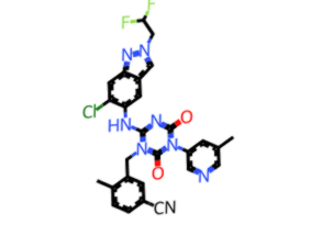 Cc1cncc(-n2c(=O)nc(Nc3cc4cn(CC(F)F)nc4cc3Cl)n(Cc3cc(C#N)ccc3C)c2=O)c1